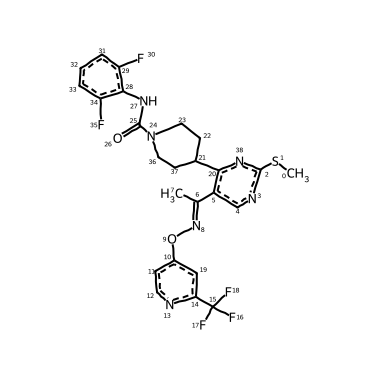 CSc1ncc(C(C)=NOc2ccnc(C(F)(F)F)c2)c(C2CCN(C(=O)Nc3c(F)cccc3F)CC2)n1